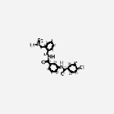 CCN(CC)Cc1ccccc1CNC(=O)c1cccc(NC(=O)c2ccc(Cl)cc2)c1